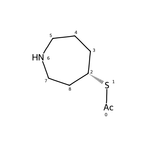 CC(=O)S[C@H]1CCCNCC1